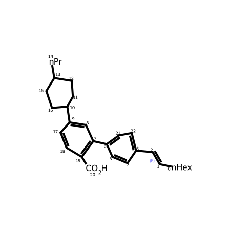 CCCCCC/C=C/c1ccc(-c2cc(C3CCC(CCC)CC3)ccc2C(=O)O)cc1